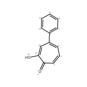 O=c1cccc(-c2ccccc2)cc1O